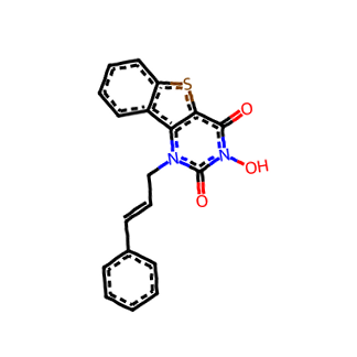 O=c1c2sc3ccccc3c2n(CC=Cc2ccccc2)c(=O)n1O